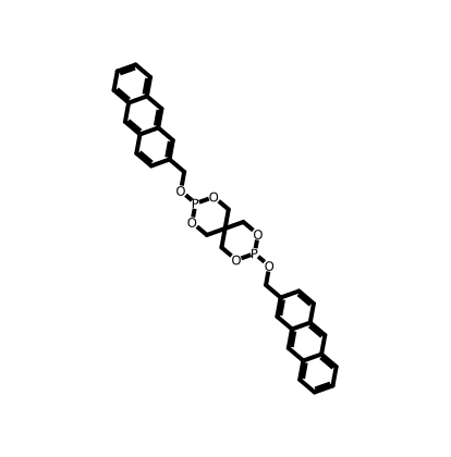 c1ccc2cc3cc(COP4OCC5(CO4)COP(OCc4ccc6cc7ccccc7cc6c4)OC5)ccc3cc2c1